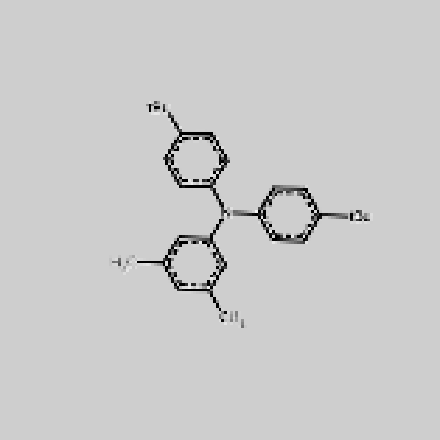 Cc1cc(C)cc(N(c2ccc(C(C)(C)C)cc2)c2ccc(C(C)(C)C)cc2)c1